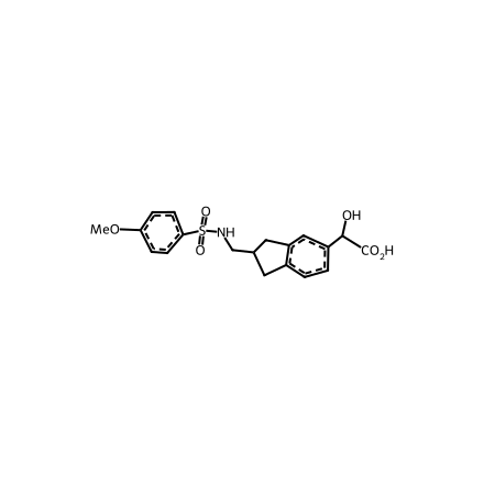 COc1ccc(S(=O)(=O)NCC2Cc3ccc(C(O)C(=O)O)cc3C2)cc1